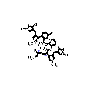 C=C/C(F)=C\C=C(\c1nn(C)cc1Cc1cn(CC)nc1Cl)[C@@H](C)Oc1cccnc1O[C@H](C)c1cc(F)ccc1-c1nn(C)cc1Cc1cn(CC)nc1Cl